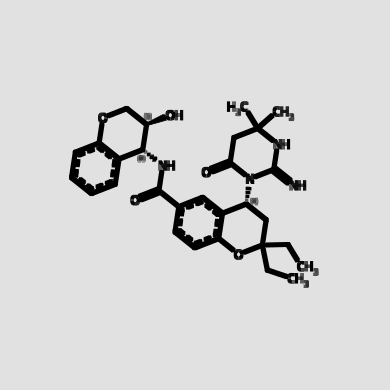 CCC1(CC)C[C@@H](N2C(=N)NC(C)(C)CC2=O)c2cc(C(=O)N[C@@H]3c4ccccc4OC[C@H]3O)ccc2O1